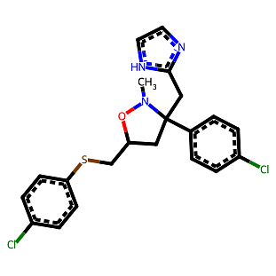 CN1OC(CSc2ccc(Cl)cc2)CC1(Cc1ncc[nH]1)c1ccc(Cl)cc1